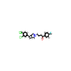 O=C(CCCN1CC2CC(c3ccc(Cl)c(Cl)c3)C2C1)c1ccc(F)cc1